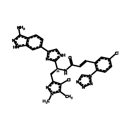 Cc1c(Cl)c(C[C@H](NC(=O)C=Cc2cc(Cl)ccc2-n2cnnn2)c2nc(-c3ccc4c(N)n[nH]c4c3)c[nH]2)nn1C